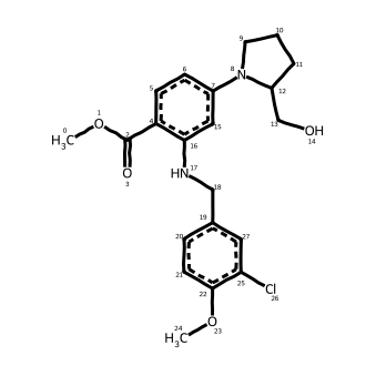 COC(=O)c1ccc(N2CCCC2CO)cc1NCc1ccc(OC)c(Cl)c1